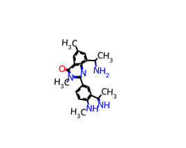 CNc1ccc(-c2nc3c(C(C)N)cc(C)cc3c(=O)n2C)cc1C(C)=N